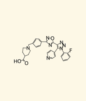 O=C(O)C1CCN(Cc2ccc(-c3noc(-c4nnn(-c5ccccc5F)c4-c4ccncc4)n3)cc2)CC1